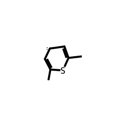 CC1=C[C]C=C(C)S1